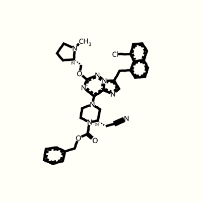 CN1CCC[C@H]1COc1nc(N2CCN(C(=O)OCc3ccccc3)[C@@H](CC#N)C2)c2ncc(Cc3cccc4cccc(Cl)c34)n2n1